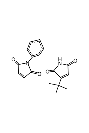 CC(C)(C)C1=CC(=O)NC1=O.O=C1C=CC(=O)N1c1ccccc1